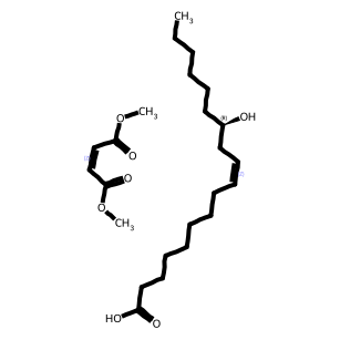 CCCCCC[C@@H](O)C/C=C\CCCCCCCC(=O)O.COC(=O)/C=C\C(=O)OC